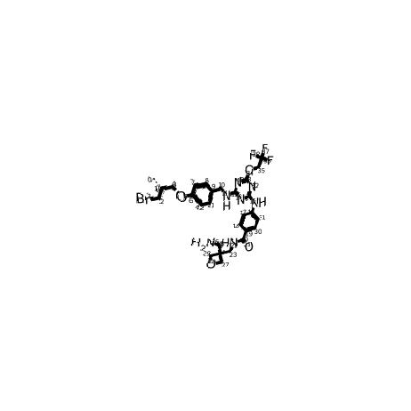 C[C@@H](CBr)COc1ccc(CNc2nc(Nc3ccc(C(=O)NCC4(CN)COC4)cc3)nc(OCC(F)(F)F)n2)cc1